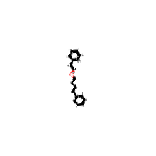 C(=Cc1ccccc1)CCOCCc1ccccc1